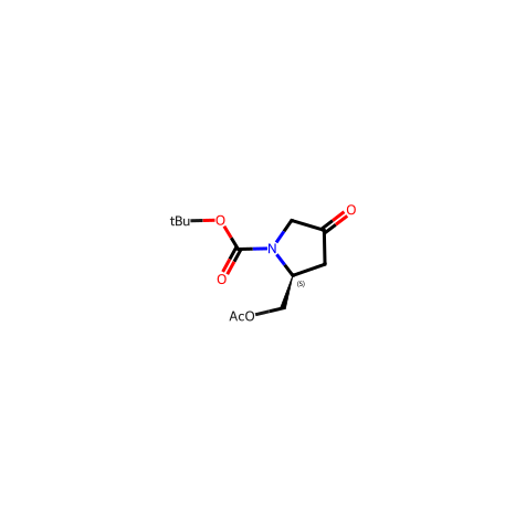 CC(=O)OC[C@@H]1CC(=O)CN1C(=O)OC(C)(C)C